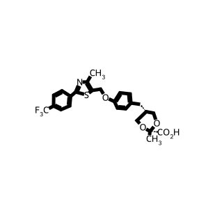 Cc1nc(-c2ccc(C(F)(F)F)cc2)sc1COc1ccc(C[C@H]2CO[C@@](C)(C(=O)O)OC2)cc1